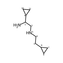 NC(CNCCC1CC1)C1CC1